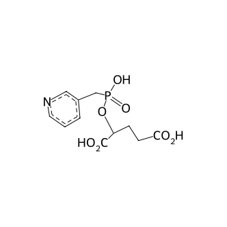 O=C(O)CCC(OP(=O)(O)Cc1cccnc1)C(=O)O